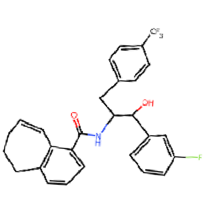 O=C(NC(Cc1ccc(C(F)(F)F)cc1)C(O)c1cccc(F)c1)c1cccc2c1C=CCCC2